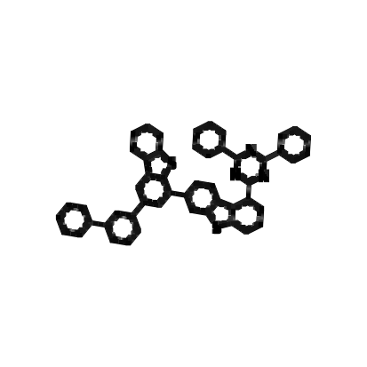 c1ccc(-c2cccc(-c3cc(-c4ccc5c(c4)sc4cccc(-c6nc(-c7ccccc7)nc(-c7ccccc7)n6)c45)c4sc5ccccc5c4c3)c2)cc1